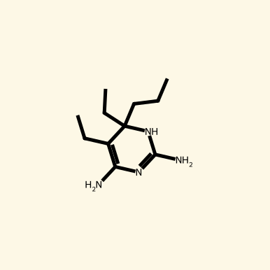 CCCC1(CC)NC(N)=NC(N)=C1CC